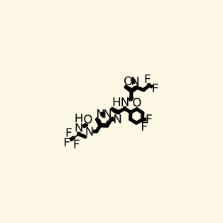 O=C(NC(c1cn2ncc(CN3C[C@@H](C(F)(F)F)NC3=O)cc2n1)C1CCC(F)(F)CC1)c1conc1CC(F)F